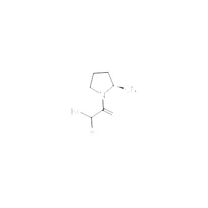 N#C[C@@H]1CCCN1C(=O)C(Br)Br